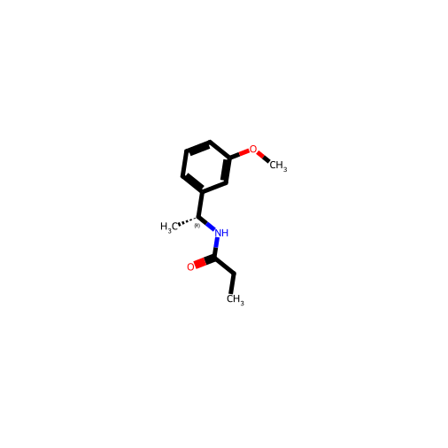 CCC(=O)N[C@H](C)c1cccc(OC)c1